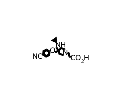 N#Cc1ccc(OCC2(CNC3CC3)CCN(CCC(=O)O)CC2)cc1